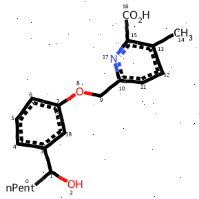 CCCCCC(O)c1cccc(OCc2ccc(C)c(C(=O)O)n2)c1